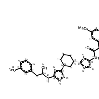 COc1cc#cc(CC(=O)Nc2nnc([C@H]3CCC[C@H](c4nnc(NC(O)Cc5cccc(OC)c5)s4)C3)s2)c1